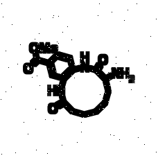 COC(=O)c1ccc2c(c1)NC(=O)CCCCCC(N)C(=O)N2